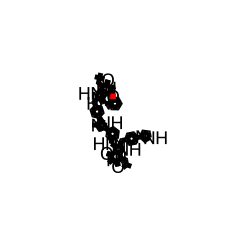 CC(C)CN1C(=O)N(C)C(=O)C2C(Nc3cccc(C4CN(C)C(c5ccc(CN6NC7C(C(=O)N(C)C(=O)N7CC(C)(C)C)C6Nc6ccccc6)cc5)N4)c3)N(Cc3ccc(N4CCNC4)cc3)NC21